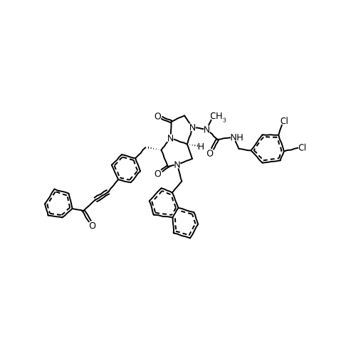 CN(C(=O)NCc1ccc(Cl)c(Cl)c1)N1CC(=O)N2[C@@H](Cc3ccc(C#CC(=O)c4ccccc4)cc3)C(=O)N(Cc3cccc4ccccc34)C[C@@H]21